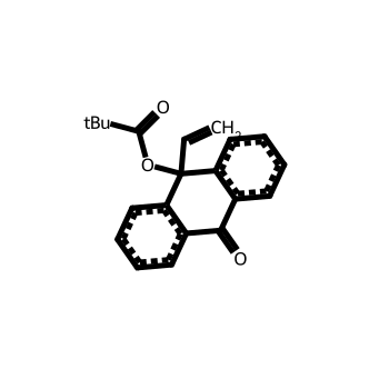 C=CC1(OC(=O)C(C)(C)C)c2ccccc2C(=O)c2ccccc21